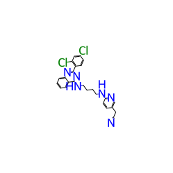 N#CCc1ccc(NCCCCNc2nc(-c3ccc(Cl)cc3Cl)nc3ccccc23)nc1